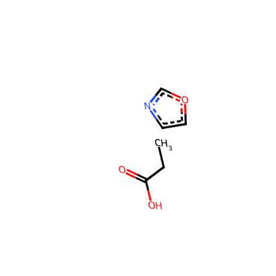 CCC(=O)O.c1cocn1